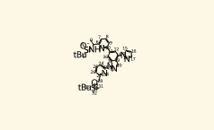 C[C@H](N[S+]([O-])C(C)(C)C)c1cccc(-c2cc(-n3cccn3)c3cnn(-c4cccc(CO[Si](C)(C)C(C)(C)C)n4)c3c2)n1